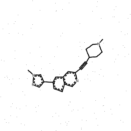 CN1CCC(C#Cc2cc3cc(-c4cnn(C)c4)ccc3cn2)CC1